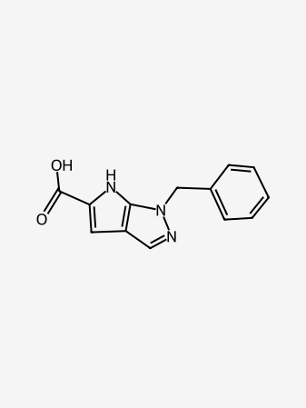 O=C(O)c1cc2cnn(Cc3ccccc3)c2[nH]1